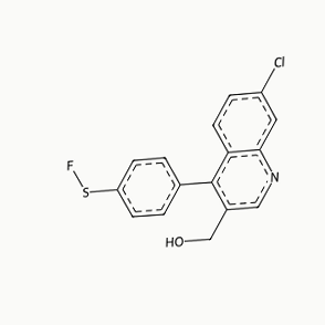 OCc1cnc2cc(Cl)ccc2c1-c1ccc(SF)cc1